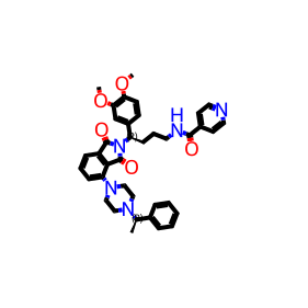 COc1ccc([C@@H](CCCNC(=O)c2ccncc2)N2C(=O)c3cccc(N4CCN([C@H](C)c5ccccc5)CC4)c3C2=O)cc1OC